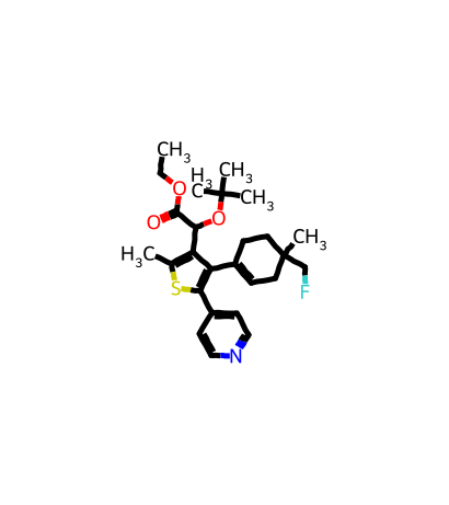 CCOC(=O)C(OC(C)(C)C)c1c(C)sc(-c2ccncc2)c1C1=CCC(C)(CF)CC1